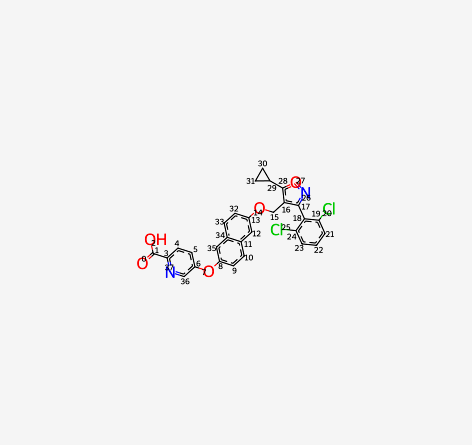 O=C(O)c1ccc(Oc2ccc3cc(OCc4c(-c5c(Cl)cccc5Cl)noc4C4CC4)ccc3c2)cn1